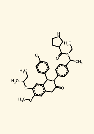 CC[C@@H](C)Oc1cc2c(cc1OC)CC(=O)N(c1ccc(C(C)N(CC)C(=O)C3CCNC3)cc1)C2c1ccc(Cl)cc1